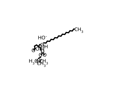 CCCCCCCCCCCCCCCCCCOCC1(C(O)CO[PH](=O)OCC[N+](C)(C)C)CCC(=O)O1.[OH-]